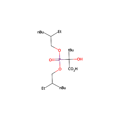 CCCCC(CC)COP(=O)(OCC(CC)CCCC)C(O)(C(=O)O)C(C)(C)C